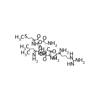 CC(C)C[C@H](N)C(=O)O.CSCC[C@H](N)C(=O)OC(=O)CN.C[C@@H](OC(=O)[C@@H](N)CCCNC(=N)N)[C@H](N)C(=O)O